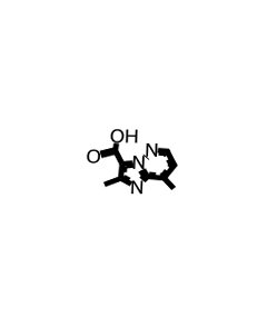 Cc1nc2c(C)ccnn2c1C(=O)O